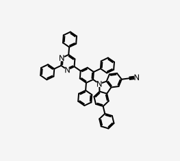 N#Cc1ccc2c(c1)c1cc(-c3ccccc3)ccc1n2-c1c(-c2ccccc2)cc(-c2cc(-c3ccccc3)nc(-c3ccccc3)n2)cc1-c1ccccc1